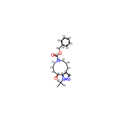 CC(C)(C)n1ncc2c1C(=O)CCCN(C(=O)OCc1ccccc1)CCC2